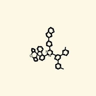 Cc1cccc(-c2cc(-c3cccc(C)c3)cc(-c3cc(-c4ccc(-c5ccc6ccccc6c5)cc4)nc(-c4cccc5c4-c4ccccc4C54c5ccccc5Oc5ccccc54)n3)c2)c1